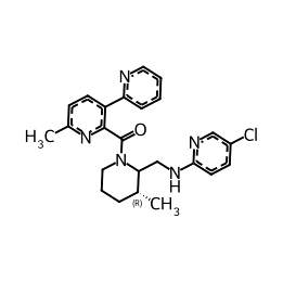 Cc1ccc(-c2ccccn2)c(C(=O)N2CCC[C@@H](C)C2CNc2ccc(Cl)cn2)n1